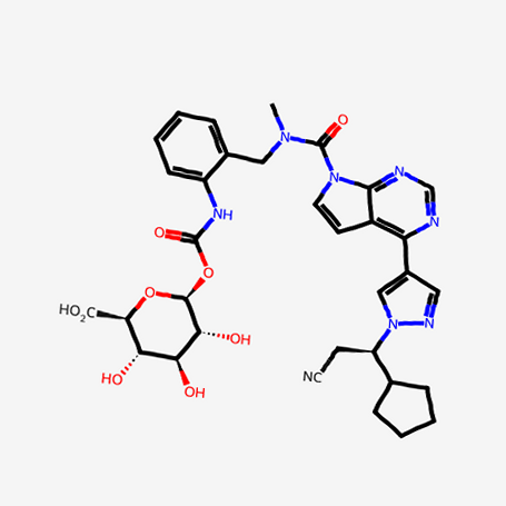 CN(Cc1ccccc1NC(=O)O[C@@H]1O[C@H](C(=O)O)[C@@H](O)[C@H](O)[C@H]1O)C(=O)n1ccc2c(-c3cnn([C@H](CC#N)C4CCCC4)c3)ncnc21